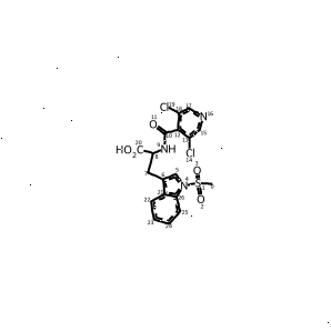 CS(=O)(=O)n1cc(CC(NC(=O)c2c(Cl)cncc2Cl)C(=O)O)c2ccccc21